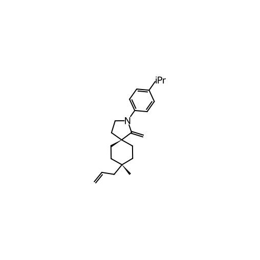 C=CC[C@]1(C)CC[C@]2(CCN(c3ccc(C(C)C)cc3)C2=C)CC1